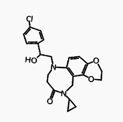 O=C1CCN(CC(O)c2ccc(Cl)cc2)c2ccc3c(c2CN1C1CC1)OCCO3